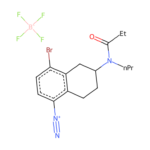 CCCN(C(=O)CC)C1CCc2c([N+]#N)ccc(Br)c2C1.F[B-](F)(F)F